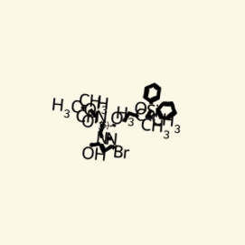 CC(C)(C)OC(=O)N[C@H](COCCCO[Si](c1ccccc1)(c1ccccc1)C(C)(C)C)Cn1nc(Br)cc1CO